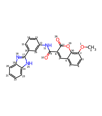 COc1cccc2cc(C(=O)Nc3cccc(-c4nc5ccccc5[nH]4)c3)c(=O)oc12